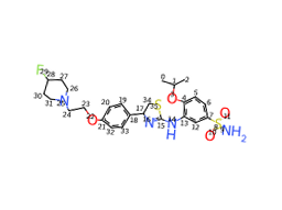 CC(C)Oc1ccc(S(N)(=O)=O)cc1NC1=NC(c2ccc(OCCN3CCC(F)CC3)cc2)CS1